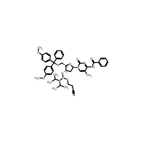 COc1ccc(C(OC[C@H]2O[C@@H](n3cc(C)c(NC(=O)c4ccccc4)nc3=O)C[C@@H]2OP(OCCC#N)N(C(C)C)C(C)C)(c2ccccc2)c2ccc(OC)cc2)cc1